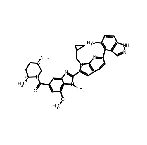 COc1cc(C(=O)N2C[C@H](N)CC[C@@H]2C)cc2nc(-c3cc4ccc(-c5c(C)ccc6[nH]ncc56)nc4n3CC3CC3)n(C)c12